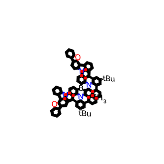 Cc1cc2c3c(c1)N(c1c(-c4ccccc4)cc(C(C)(C)C)cc1-c1ccccc1)c1cc(-n4c5ccccc5c5c6oc7ccccc7c6ccc54)ccc1B3c1ccc(-n3c4ccccc4c4c5oc6ccccc6c5ccc43)cc1N2c1c(-c2ccccc2)cc(C(C)(C)C)cc1-c1ccccc1